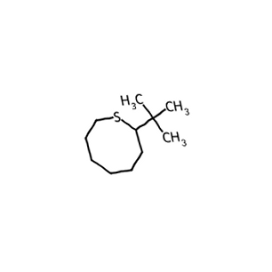 CC(C)(C)C1CCCCCCS1